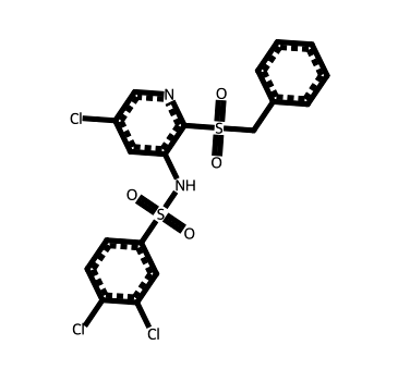 O=S(=O)(Cc1ccccc1)c1ncc(Cl)cc1NS(=O)(=O)c1ccc(Cl)c(Cl)c1